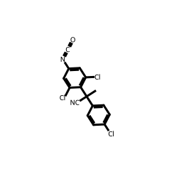 CC(C#N)(c1ccc(Cl)cc1)c1c(Cl)cc(N=C=O)cc1Cl